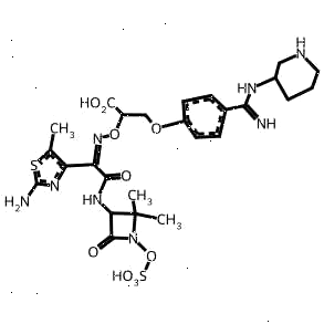 Cc1sc(N)nc1C(=NOC(COc1ccc(C(=N)NC2CCCNC2)cc1)C(=O)O)C(=O)NC1C(=O)N(OS(=O)(=O)O)C1(C)C